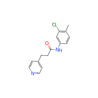 Cc1ccc(NC(=O)CCc2ccncc2)cc1Cl